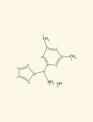 Cc1cc(C)cc(C([SiH3])[C]2C=CC=C2)c1.[LiH]